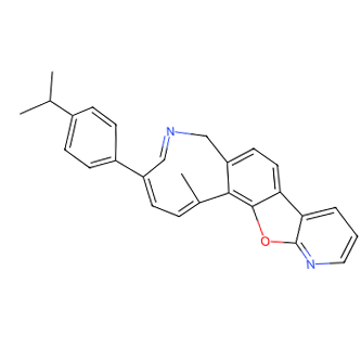 C\C1=C/C=C(c2ccc(C(C)C)cc2)\C=N\Cc2ccc3c(oc4ncccc43)c21